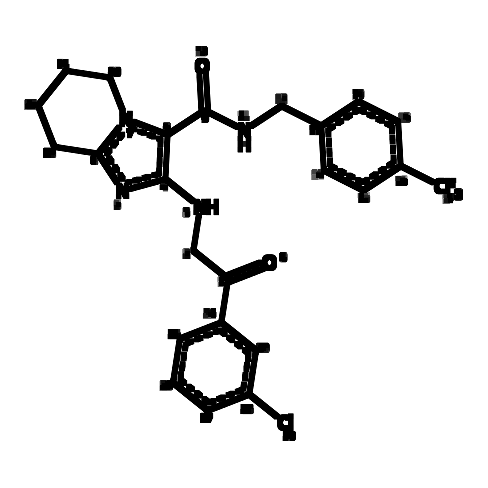 O=C(CNc1nc2n(c1C(=O)NCc1ccc(C(F)(F)F)cc1)CCCC2)c1cccc(Cl)c1